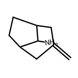 C=C1CC2CCC(C1)C2N